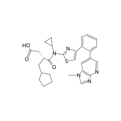 Cn1cnc2ncc(-c3ccccc3-c3csc(N(C(=O)[C@@H](CC(=O)O)CC4CCCC4)C4CC4)n3)cc21